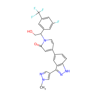 Cn1cc(-c2n[nH]c3ccc(-c4ccn(C(CO)c5cc(F)cc(C(F)(F)F)c5)c(=O)c4)cc23)cn1